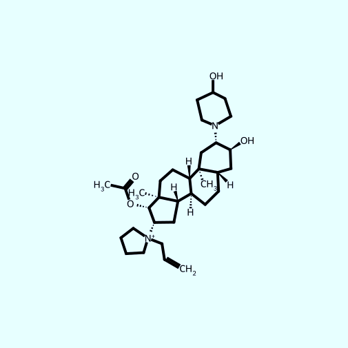 C=CC[N+]1([C@H]2C[C@H]3[C@@H]4CC[C@H]5C[C@H](O)[C@@H](N6CCC(O)CC6)C[C@]5(C)[C@H]4CC[C@]3(C)[C@H]2OC(C)=O)CCCC1